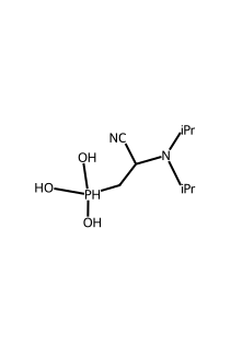 CC(C)N(C(C)C)C(C#N)C[PH](O)(O)O